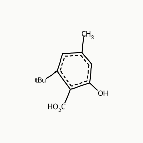 Cc1cc(O)c(C(=O)O)c(C(C)(C)C)c1